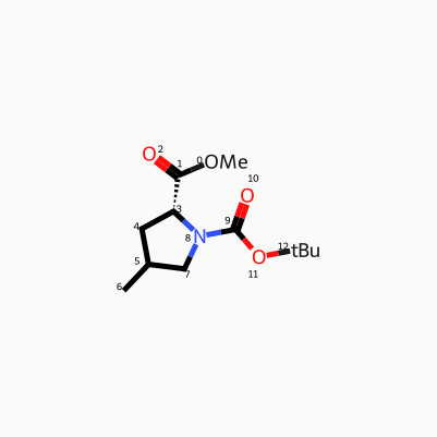 COC(=O)[C@H]1CC(C)CN1C(=O)OC(C)(C)C